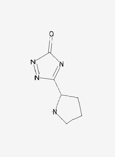 O=C1N=NC(C2CCC[N]2)=N1